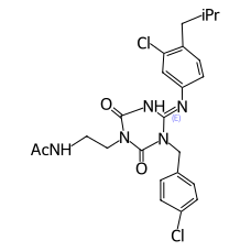 CC(=O)NCCn1c(=O)[nH]/c(=N\c2ccc(CC(C)C)c(Cl)c2)n(Cc2ccc(Cl)cc2)c1=O